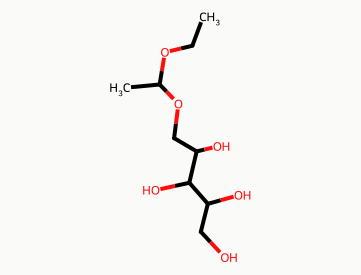 CCOC(C)OCC(O)C(O)C(O)CO